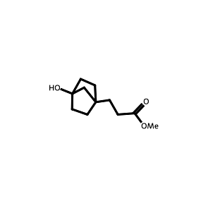 COC(=O)CCC12CCC(O)(CC1)C2